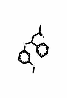 COc1cccc(OC(CC(C)=O)c2ccccc2)c1